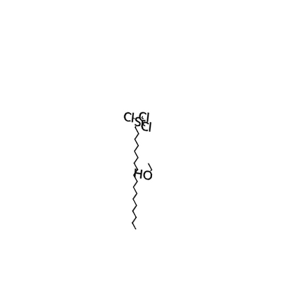 CCCCCCCCCCCCCCCCCC[Si](Cl)(Cl)Cl.CCO